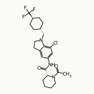 CC(=O)N1CCCC[C@@H]1C(=O)Nc1cc(Cl)c2c(c1)CCN2C[C@H]1CC[C@H](C(F)(F)F)CC1